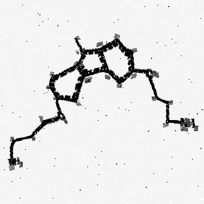 Cn1c2ccc(OCCCN)cc2c2cc(OCCCN)ccc21